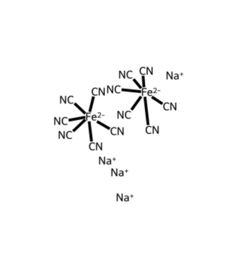 N#[C][Fe-2]([C]#N)([C]#N)([C]#N)([C]#N)[C]#N.N#[C][Fe-2]([C]#N)([C]#N)([C]#N)([C]#N)[C]#N.[Na+].[Na+].[Na+].[Na+]